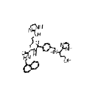 C[C@H](NC(=O)[C@H](CCCNC1=NCCN1)NC(=O)c1ccc(CNC(CCO)c2ncc[nH]2)cc1)c1cccc2ccccc12